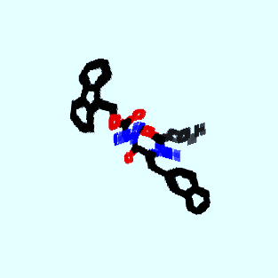 O=C(NNC(=O)C(Cc1ccc2ccccc2c1)NC(=O)C(=O)O)OCC1c2ccccc2-c2ccccc21